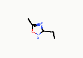 CCC1N=C(C)ON1